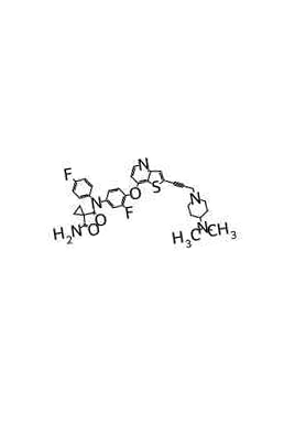 CN(C)C1CCN(CC#Cc2cc3nccc(Oc4ccc(N(C(=O)C5(C(N)=O)CC5)c5ccc(F)cc5)cc4F)c3s2)CC1